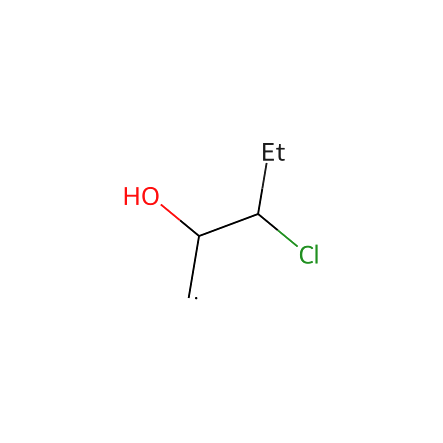 [CH2]C(O)C(Cl)CC